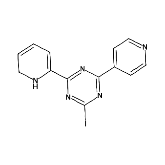 Ic1nc(C2=CC=CCN2)nc(-c2ccncc2)n1